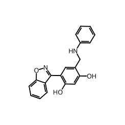 Oc1cc(O)c(-c2noc3ccccc23)cc1CNc1ccccc1